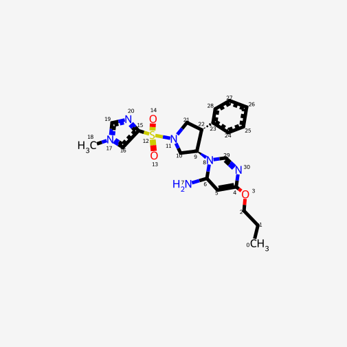 CCCOC1=CC(N)N([C@H]2CN(S(=O)(=O)c3cn(C)cn3)C[C@@H]2c2ccccc2)C=N1